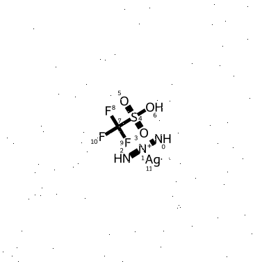 N=[N+]=N.O=S(=O)(O)C(F)(F)F.[Ag]